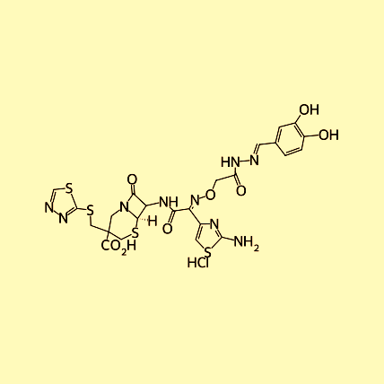 Cl.Nc1nc(C(=NOCC(=O)NN=Cc2ccc(O)c(O)c2)C(=O)NC2C(=O)N3CC(CSc4nncs4)(C(=O)O)CS[C@H]23)cs1